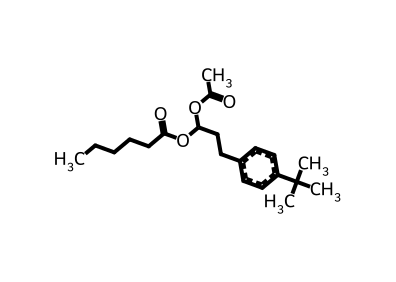 CCCCCC(=O)OC(CCc1ccc(C(C)(C)C)cc1)OC(C)=O